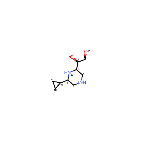 O=CC(=O)C1CNCC(C2CC2)N1